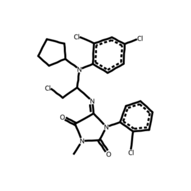 CN1C(=O)C(=NC(CCl)N(c2ccc(Cl)cc2Cl)C2CCCC2)N(c2ccccc2Cl)C1=O